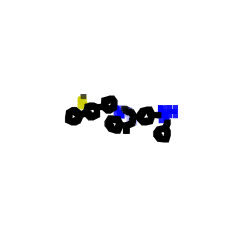 C=C1/C=C(c2ccc(C3NN3CC3CC=CCC3)cc2)\C=C/N(c2cccc(C3C=C(SC)C(c4ccccc4)=CC3)c2)c2ccccc21